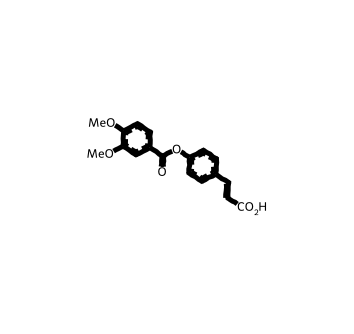 COc1ccc(C(=O)Oc2ccc(C=CC(=O)O)cc2)cc1OC